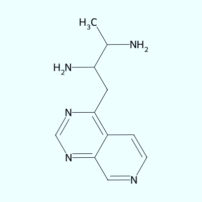 CC(N)C(N)Cc1ncnc2cnccc12